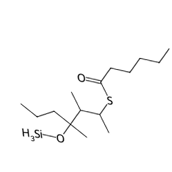 CCCCCC(=O)SC(C)C(C)C(C)(CCC)O[SiH3]